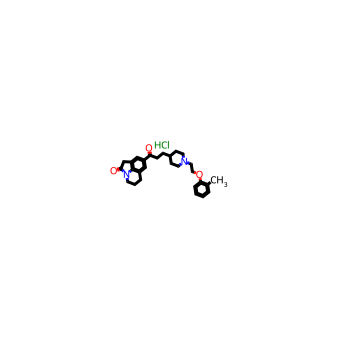 Cc1ccccc1OCCN1CCC(CCC(=O)c2cc3c4c(c2)CC(=O)N4CCC3)CC1.Cl